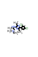 CCc1nc(-c2ccc(Cl)cc2Cl)c(CC)nc1NC(C)CN(C)C